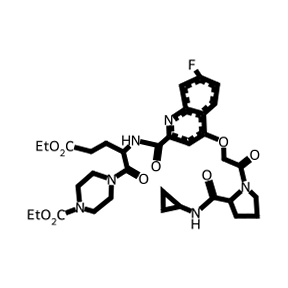 CCOC(=O)CCC(NC(=O)c1cc(OCC(=O)N2CCCC2C(=O)NC2CC2)c2ccc(F)cc2n1)C(=O)N1CCN(C(=O)OCC)CC1